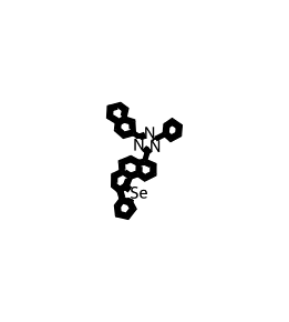 c1ccc(-c2nc(-c3ccc4ccccc4c3)nc(-c3cccc4c3ccc3ccc5c6ccccc6[se]c5c34)n2)cc1